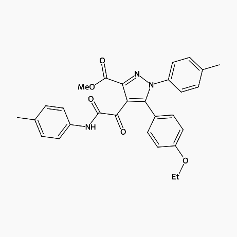 CCOc1ccc(-c2c(C(=O)C(=O)Nc3ccc(C)cc3)c(C(=O)OC)nn2-c2ccc(C)cc2)cc1